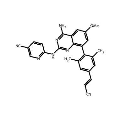 COc1cc(-c2c(C)cc(C=CC#N)cc2C)c2nc(Nc3ccc(C#N)cn3)nc(N)c2c1